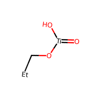 CCC[O][Ti](=[O])[OH]